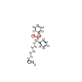 CCCCCCCCC(C(=O)Oc1ccccc1)c1ccccc1